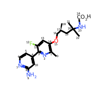 Cc1nc(-c2ccnc(N)c2)c(F)cc1OC[C@@H](C)CC(C)(C)NC(=O)O